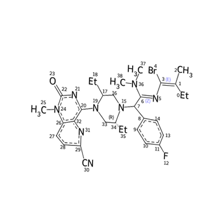 CC/C(C)=C(Br)\N=C(\C(c1ccc(F)cc1)N1CC(CC)N(c2nc(=O)n(C)c3ccc(C#N)nc23)C[C@H]1CC)N(C)C